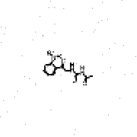 CC(=O)NC(=O)NCC(=O)c1ccccc1[N+](=O)[O-]